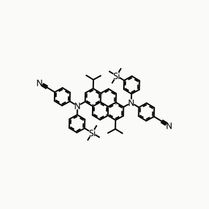 CC(C)c1cc(N(c2ccc(C#N)cc2)c2cccc([Si](C)(C)C)c2)c2ccc3c(C(C)C)cc(N(c4ccc(C#N)cc4)c4cccc([Si](C)(C)C)c4)c4ccc1c2c34